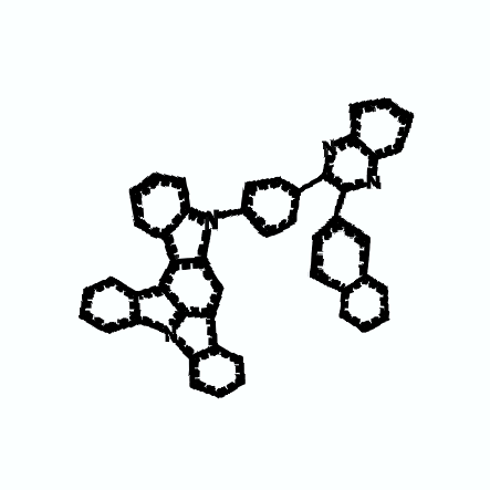 c1ccc2cc(-c3nc4ccccc4nc3-c3ccc(-n4c5ccccc5c5c6c7ccccc7n7c8ccccc8c(cc54)c67)cc3)ccc2c1